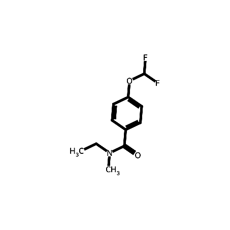 CCN(C)C(=O)c1ccc(OC(F)F)cc1